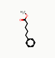 [CH2]OC(=O)CCCCc1ccccc1